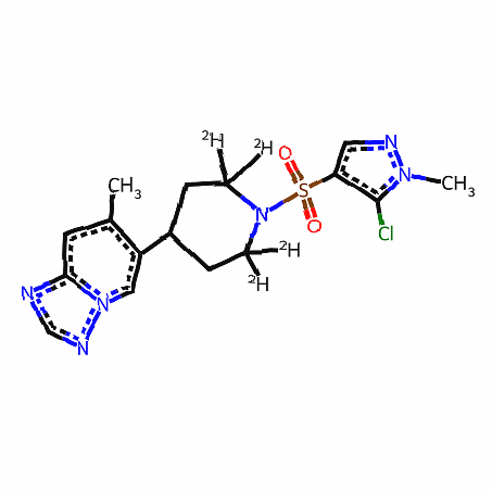 [2H]C1([2H])CC(c2cn3ncnc3cc2C)CC([2H])([2H])N1S(=O)(=O)c1cnn(C)c1Cl